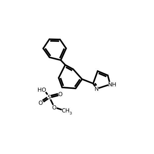 COS(=O)(=O)O.c1ccc(-c2cccc(-c3cc[nH]n3)c2)cc1